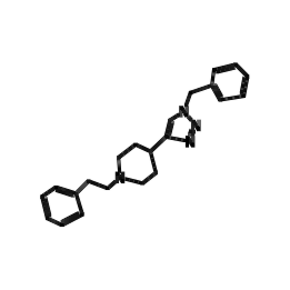 c1ccc(CCN2CCC(c3cn(Cc4ccccc4)nn3)CC2)cc1